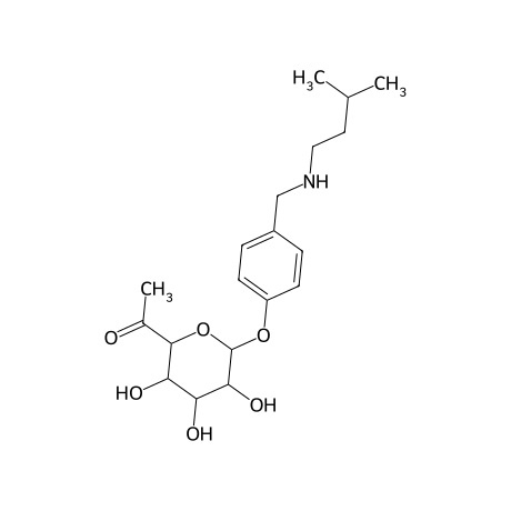 CC(=O)C1OC(Oc2ccc(CNCCC(C)C)cc2)C(O)C(O)C1O